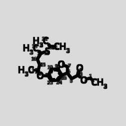 CCOC(=O)CC1COc2cc(O[C@@H](C)CCC(C)SC(C)C)ccc21